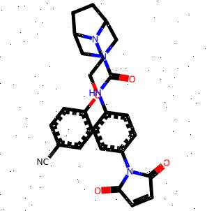 N#Cc1ccc(OCCN2C3CCC2CN(C(=O)Nc2ccc(N4C(=O)C=CC4=O)cc2)C3)cc1